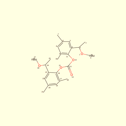 CCCCOC(C)c1cc(C)cc(C)c1OC(=O)Oc1c(C)cc(C)cc1C(C)OCCCC